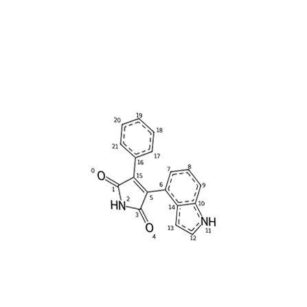 O=C1NC(=O)C(c2cccc3[nH]ccc23)=C1c1ccccc1